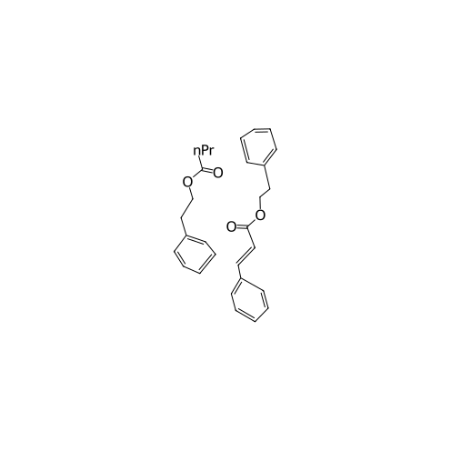 CCCC(=O)OCCc1ccccc1.O=C(/C=C/c1ccccc1)OCCc1ccccc1